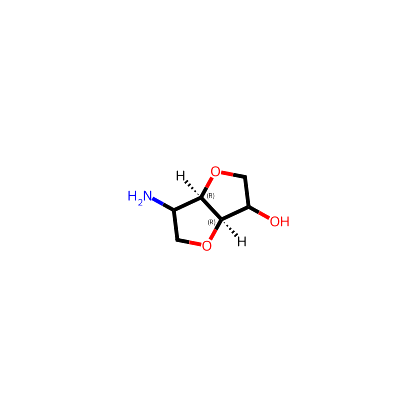 NC1CO[C@@H]2C(O)CO[C@H]12